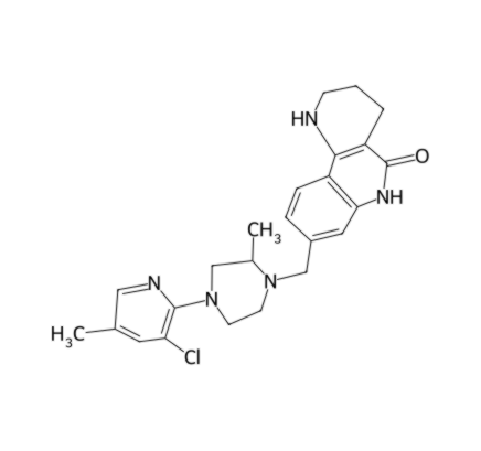 Cc1cnc(N2CCN(Cc3ccc4c5c(c(=O)[nH]c4c3)CCCN5)C(C)C2)c(Cl)c1